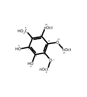 CCCCCCCCOc1c(O)c(O)c(C(=O)O)c(CCCCCCCC)c1OCCCCCCCC